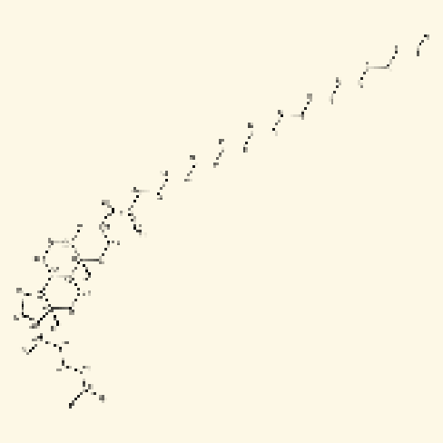 CCCCCCCCCCCC=CC=CC=CC=CC=CC(=O)OC1CC[C@@]2(C)C(=CCC3C2CC[C@@]2(C)C3CC[C@@H]2[C@H](C)CCCC(C)C)C1